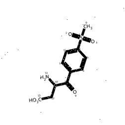 CS(=O)(=O)c1ccc(C(=O)C(N)CC(=O)O)cc1